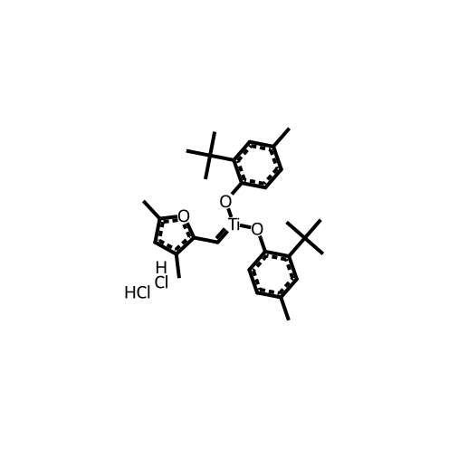 Cc1ccc([O][Ti](=[CH]c2oc(C)cc2C)[O]c2ccc(C)cc2C(C)(C)C)c(C(C)(C)C)c1.Cl.Cl